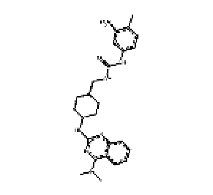 Cc1ccc(NC(=O)NCC2CCC(Nc3nc(N(C)C)c4ccccc4n3)CC2)cc1[N+](=O)[O-]